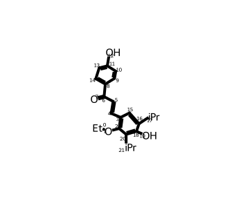 CCOc1c(C=CC(=O)c2ccc(O)cc2)cc(C(C)C)c(O)c1C(C)C